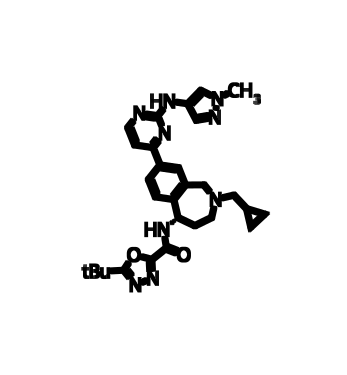 Cn1cc(Nc2nccc(-c3ccc4c(c3)CN(CC3CC3)CC[C@@H]4NC(=O)c3nnc(C(C)(C)C)o3)n2)cn1